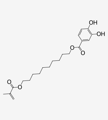 C=C(C)C(=O)OCCCCCCCCCCOC(=O)c1ccc(O)c(O)c1